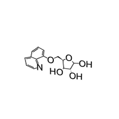 OC1O[C@H](COc2cccc3cccnc23)[C@@H](O)[C@H]1O